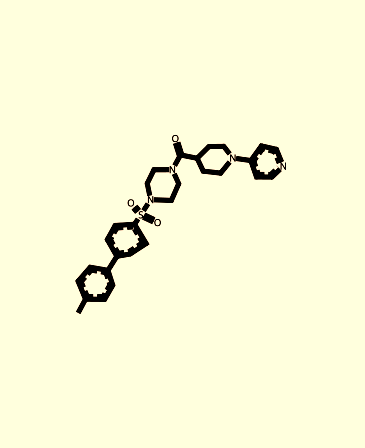 Cc1ccc(-c2ccc(S(=O)(=O)N3CCN(C(=O)C4CCN(c5ccncc5)CC4)CC3)cc2)cc1